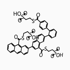 O=C(SCCS(=O)(=O)O)c1ccc(-c2ccccc2-c2ccc3cc(-c4ccc5cc6ccccc6c(C(=O)SCCS(=O)(=O)O)c5c4)cc(C(=O)SCCS(=O)(=O)O)c3c2)cc1